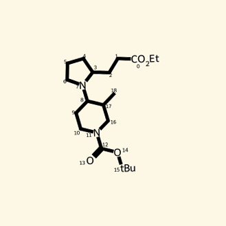 CCOC(=O)CCC1CCCN1C1CCN(C(=O)OC(C)(C)C)CC1C